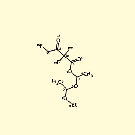 CCOC(C)OC(C)OC(=O)C(F)(F)C(=O)CF